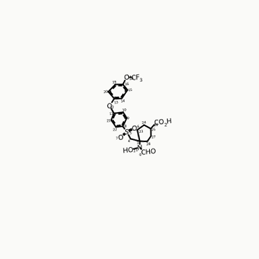 O=CN(O)C1(CS(=O)(=O)c2ccc(Oc3ccc(OC(F)(F)F)cc3)cc2)CCC(C(=O)O)CC1